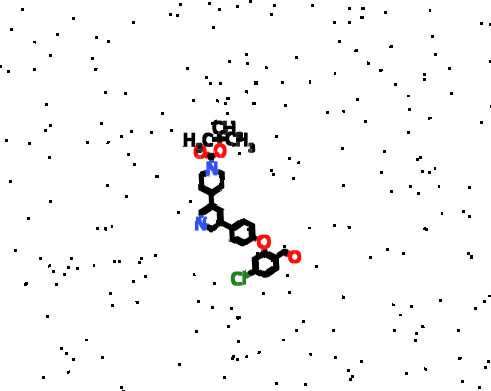 CC(C)(C)OC(=O)N1CCC(c2cncc(-c3ccc(Oc4cc(Cl)ccc4C=O)cc3)c2)CC1